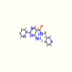 Nc1nc(-c2ccccn2)ncc1C(=O)NCc1cccnc1